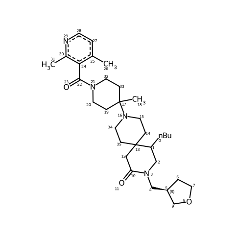 CCCCC1CN(C[C@H]2CCOC2)C(=O)CC12CCN(C1(C)CCN(C(=O)c3c(C)ccnc3C)CC1)CC2